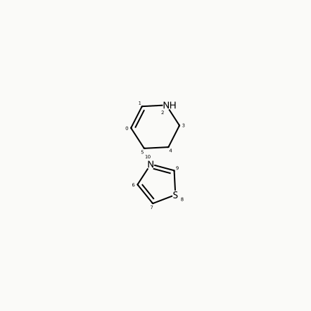 C1=CNCCC1.c1cscn1